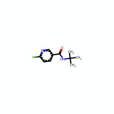 CC(C)(C)NC(=O)c1ccc(F)nc1